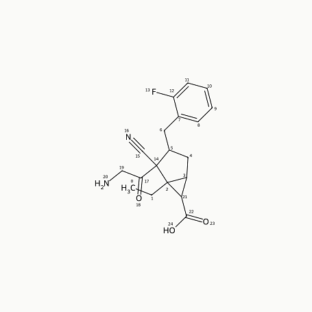 CCC12C(CC(Cc3ccccc3F)C1(C#N)C(=O)CN)C2C(=O)O